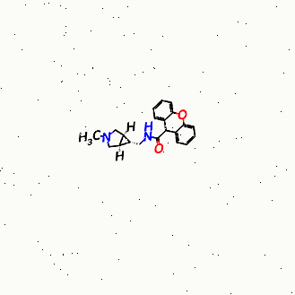 CN1C[C@@H]2[C@@H](CNC(=O)C3c4ccccc4Oc4ccccc43)[C@@H]2C1